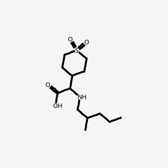 CCCC(C)CNC(C(=O)O)C1CCS(=O)(=O)CC1